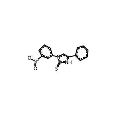 O=[N+]([O-])c1cccc(-n2cc(-c3ccccc3)[nH]c2=S)c1